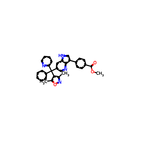 COC(=O)c1ccc(-c2c[nH]c3cc(C(c4ccccc4)(c4ccccn4)c4c(C)noc4C)cnc23)cc1